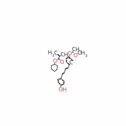 C=C(C)C(=O)OC1CCCCC1.COC(C)Oc1ccc(C=CC=Cc2ccc(O)cc2)cc1